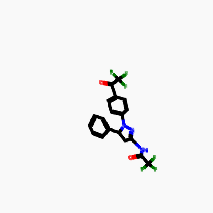 O=C(NC1=NN(c2ccc(C(=O)C(F)(F)F)cc2)C(c2ccccc2)C1)C(F)(F)F